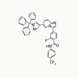 O=C(Nc1ccc(C(F)(F)F)cc1)c1ccc(-c2cnc3ccc(-c4cnn(C(c5ccccc5)(c5ccccc5)c5ccccc5)c4)cn23)cc1F